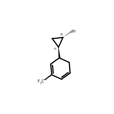 CC(C)[C@H]1C[C@@H]1C1C=C(C(F)(F)F)C=CC1